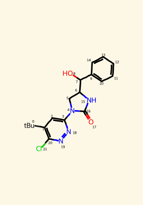 CC(C)(C)c1cc(N2CC(C(O)c3ccccc3)NC2=O)nnc1Cl